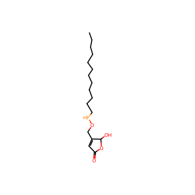 CCCCCCCCCCCCPOCC1=CC(=O)OC1O